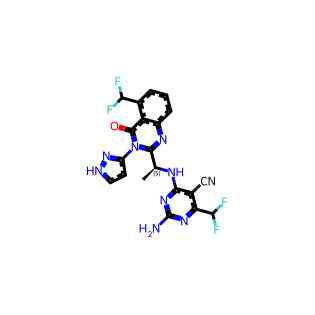 C[C@H](Nc1nc(N)nc(C(F)F)c1C#N)c1nc2cccc(C(F)F)c2c(=O)n1-c1cc[nH]n1